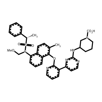 COCN(c1cccc2c(Oc3ncccc3-c3ccnc(NC4CCCN(C(=O)O)C4)n3)c(C)ccc12)S(=O)(=O)[C@@H](C)c1ccccc1